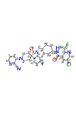 N#Cc1ncccc1N1CCC2(CC1)C(=O)N(CC1CCC(NC(=O)c3cc(Cl)cnc3C(F)F)CC1)c1cc(F)ccc12